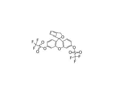 O=S(=O)(Oc1ccc2c(c1)Oc1cc(OS(=O)(=O)C(F)(F)F)ccc1C21OCc2ccccc21)C(F)(F)F